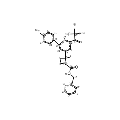 C=C(c1cc(C2(C)CCN2C(=O)OCc2ccccc2)cc(-c2ccc(F)cc2)n1)C(F)(F)F